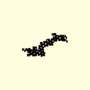 Cc1cn([C@H](C(=O)N2C[C@H](O)C[C@H]2C(=O)NCc2ccccc2OC2CCN(C(=O)C3CCN(c4nccc(Sc5cnc(N6CCC(C)(CN)CC6)c(CO)n5)c4Cl)CC3)CC2)C(C)C)nn1